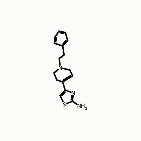 Nc1nc(C2=CCN(CCc3ccccc3)CC2)cs1